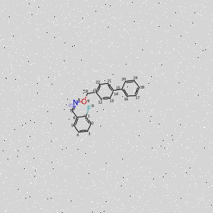 Fc1ccccc1/[C]=N\OCc1ccc(-c2ccccc2)cc1